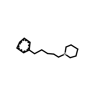 [CH]1CCN(CCCCCc2ccccc2)CC1